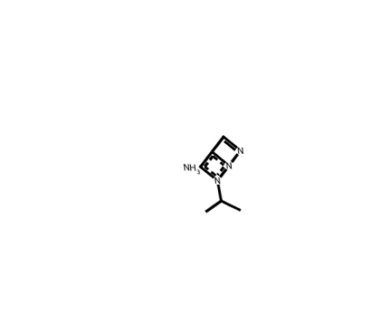 CC(C)n1cc2n1N=C2.N